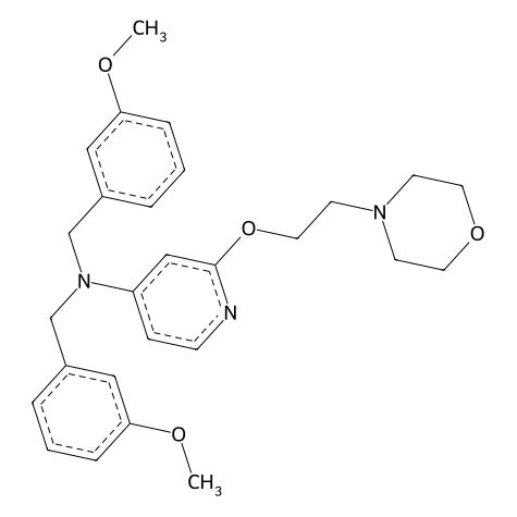 COc1cccc(CN(Cc2cccc(OC)c2)c2ccnc(OCCN3CCOCC3)c2)c1